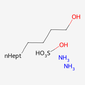 CCCCCCCCCCCO.N.N.O=S(=O)(O)O